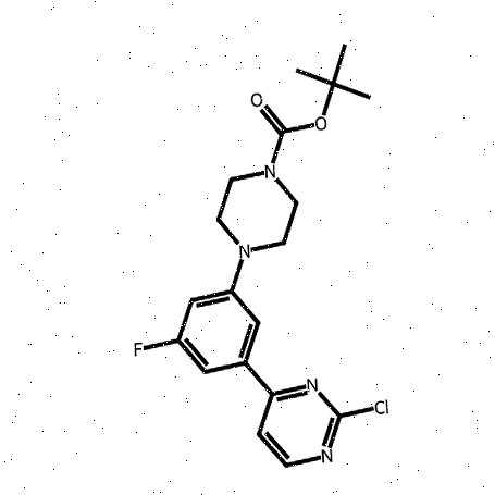 CC(C)(C)OC(=O)N1CCN(c2cc(F)cc(-c3ccnc(Cl)n3)c2)CC1